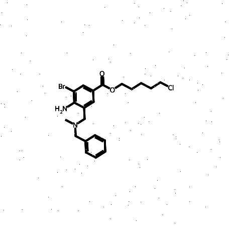 CN(Cc1ccccc1)Cc1cc(C(=O)OCCCCCCl)cc(Br)c1N